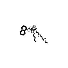 CCCCCOP(=O)(OCCOCCOCC)OOc1cccc2ccccc12